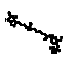 O=C(CCCCC1SCC2NC(=O)NC21)NCCCCCC(=O)Nc1ccc(OP(=O)(O)O)c(CF)c1